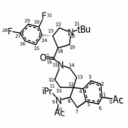 CC(=O)c1ccc2c(c1)CC(N(C(C)=O)C(C)C)C21CCN(C(=O)C2CN(C(C)(C)C)C[C@H]2c2ccc(F)cc2F)CC1